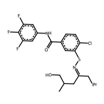 CC(C)C/C(CC(C)CO)=N\Sc1cc(C(=O)Nc2cc(F)c(F)c(F)c2)ccc1Cl